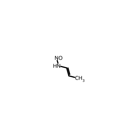 C/C=C/NN=O